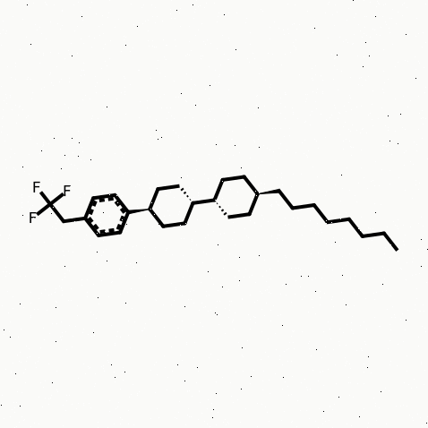 CCCCCCCC[C@H]1CC[C@H]([C@H]2CC[C@H](c3ccc(CC(F)(F)F)cc3)CC2)CC1